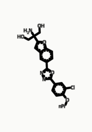 CCCOc1ccc(-c2nnc(-c3ccc4oc(C(N)(CO)CO)cc4c3)o2)cc1Cl